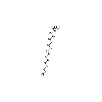 [O]CCCCCCCCCCCCCCCC(=O)O